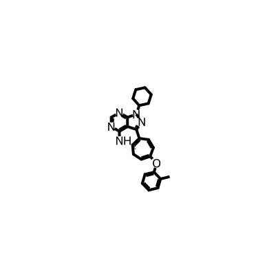 Cc1ccccc1OC1=CCC=C(c2nn(C3CCCCC3)c3ncnc(N)c23)C=C1